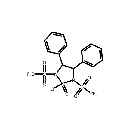 O=P1(O)N(S(=O)(=O)C(F)(F)F)C(c2ccccc2)C(c2ccccc2)N1S(=O)(=O)C(F)(F)F